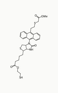 COC(=O)CSCCc1c2ccccc2c(N2C(=O)NC3C(CCCCC(=O)OCCS)SCC32)c2ccccc12